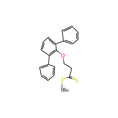 CC(C)(C)SC(=S)CCOc1c(-c2ccccc2)cccc1-c1ccccc1